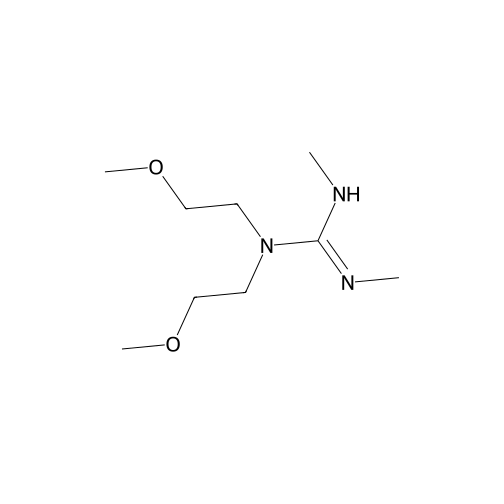 C/N=C(\NC)N(CCOC)CCOC